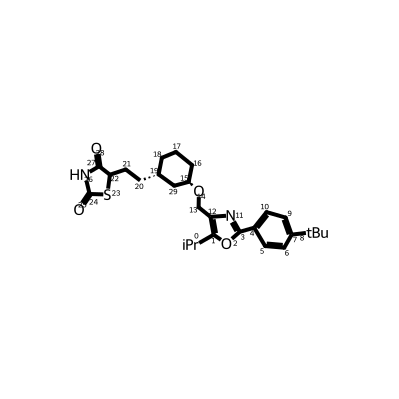 CC(C)c1oc(-c2ccc(C(C)(C)C)cc2)nc1CO[C@H]1CCC[C@@H](CCC2SC(=O)NC2=O)C1